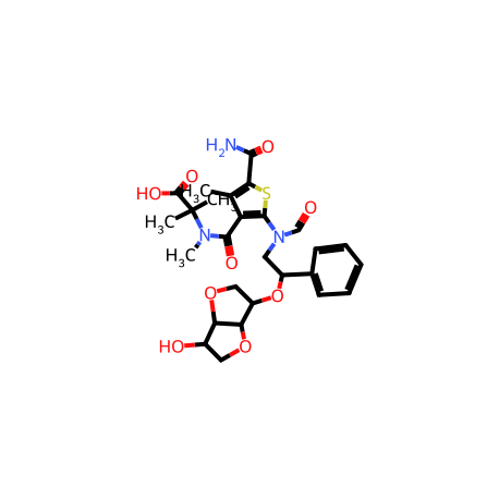 Cc1c(C(N)=O)sc(N(C=O)CC(OC2COC3C(O)COC23)c2ccccc2)c1C(=O)N(C)C(C)(C)C(=O)O